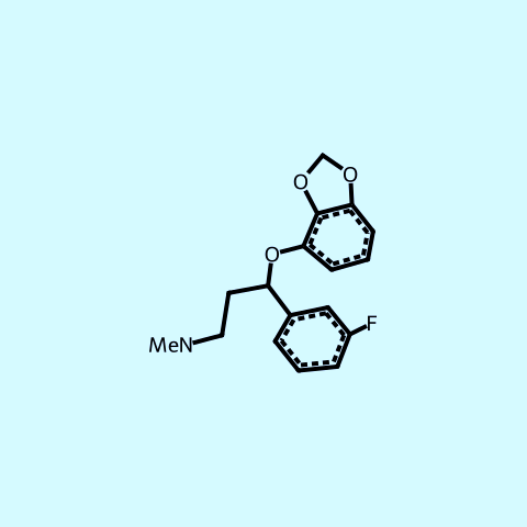 CNCCC(Oc1cccc2c1OCO2)c1cccc(F)c1